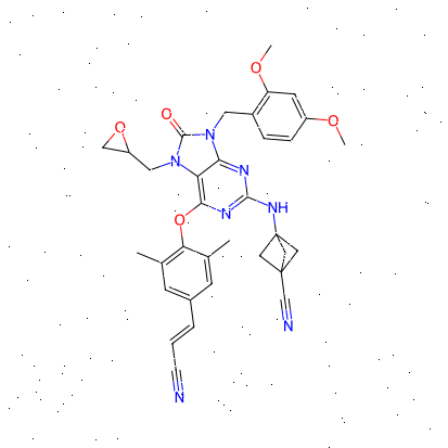 COc1ccc(Cn2c(=O)n(CC3CO3)c3c(Oc4c(C)cc(/C=C/C#N)cc4C)nc(NC45CC(C#N)(C4)C5)nc32)c(OC)c1